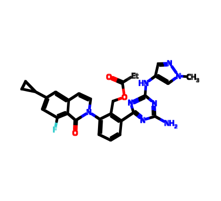 CCC(=O)OCc1c(-c2nc(N)nc(Nc3cnn(C)c3)n2)cccc1-n1ccc2cc(C3CC3)cc(F)c2c1=O